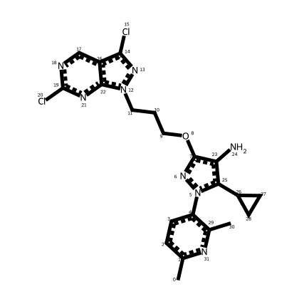 Cc1ccc(-n2nc(OCCCn3nc(Cl)c4cnc(Cl)nc43)c(N)c2C2CC2)c(C)n1